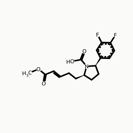 COC(=O)C=CCC[C@@H]1CC[C@H](c2ccc(F)c(F)c2)N1C(=O)O